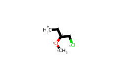 CCC(CCl)OC